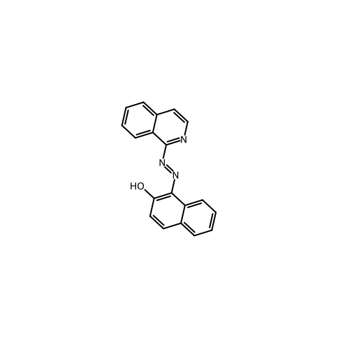 Oc1ccc2ccccc2c1/N=N/c1nccc2ccccc12